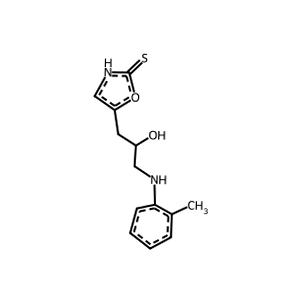 Cc1ccccc1NCC(O)Cc1c[nH]c(=S)o1